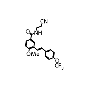 COc1ccc(C(=O)NCCC#N)cc1C=Cc1ccc(OC(F)(F)F)cc1